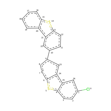 Clc1ccc2sc3ccc(-c4ccc5sc6ccccc6c5c4)cc3c2c1